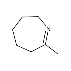 CC1=NCCCCC1